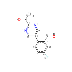 CC(=O)c1ncc(-c2ccc(F)cc2C=O)cn1